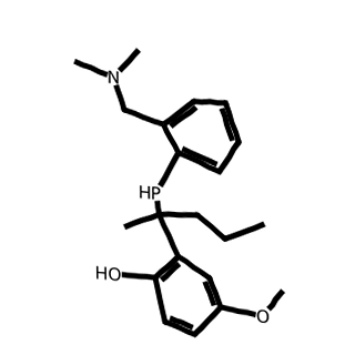 CCCC(C)(Pc1ccccc1CN(C)C)c1cc(OC)ccc1O